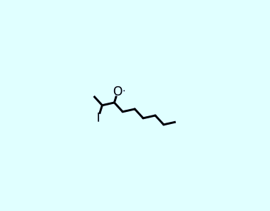 CCCCCCC([O])C(C)I